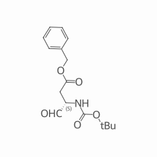 CC(C)(C)OC(=O)N[C@H](C=O)CC(=O)OCc1ccccc1